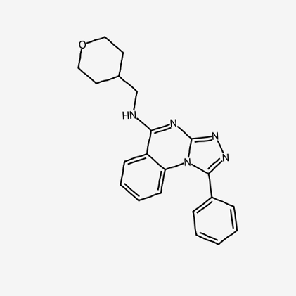 c1ccc(-c2nnc3nc(NCC4CCOCC4)c4ccccc4n23)cc1